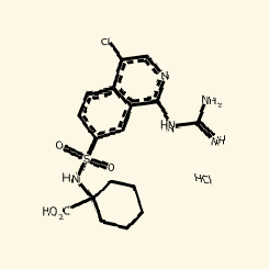 Cl.N=C(N)Nc1ncc(Cl)c2ccc(S(=O)(=O)NC3(C(=O)O)CCCCC3)cc12